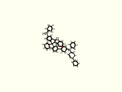 C1=CC(c2ccccc2)CC=C1N(c1ccccc1)c1ccc(-c2ccc3c(c2)C2(c4ccccc4-3)c3ccc(Nc4ccccc4)cc3-c3oc4ccccc4c32)cc1